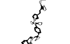 CC(C)(C)OC(=O)/C=C/c1ccn(S(=O)(=O)c2ccc(C(=O)N3Cc4ccccc4C3=O)cc2)c1